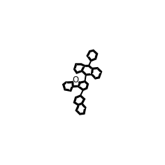 c1ccc(-c2c3ccccc3c(-c3ccc(-c4ccc5ccccc5c4)c4c3oc3ccccc34)c3ccccc23)cc1